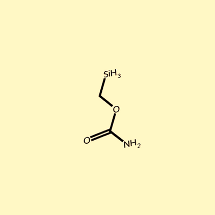 NC(=O)OC[SiH3]